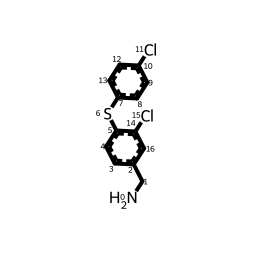 NCc1ccc(Sc2ccc(Cl)cc2)c(Cl)c1